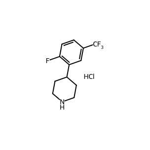 Cl.Fc1ccc(C(F)(F)F)cc1C1CCNCC1